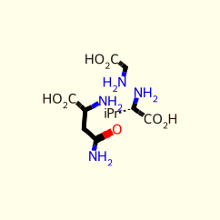 CC(C)[C@H](N)C(=O)O.NC(=O)CC(N)C(=O)O.NCC(=O)O